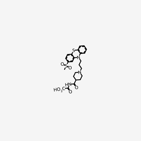 CS(=O)(=O)c1ccc2c(c1)N(CCCN1CCC(C(=O)NC(=O)C(=O)O)CC1)c1ccccc1S2